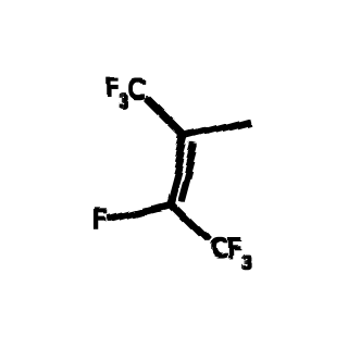 CC(=C(F)C(F)(F)F)C(F)(F)F